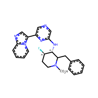 O=C(O)N1CC[C@@H](F)[C@H](Nc2cncc(-c3cnc4ccccn34)n2)C1Cc1ccccc1